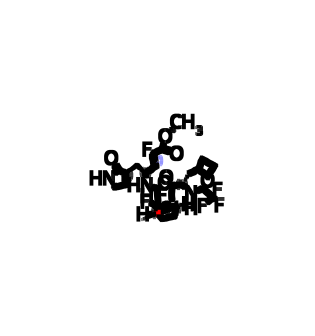 CCOC(=O)/C(F)=C/[C@H](C[C@H]1CCNC1=O)NC(=O)[C@H]1[C@@H]2CC[C@@H](CC2(F)F)N1C(=O)[C@H](CC1CCC1)NC(=O)C(F)(F)F